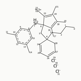 CCCCC1(CC2([SiH2]c3cc(C)cc(C)c3)C(C)=C(C)C(C)=[C]2[Ti+3])C=CC=CC1.[Cl-].[Cl-].[Cl-]